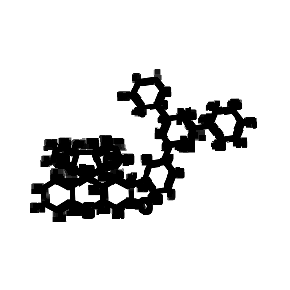 c1ccc(-c2cc(-c3ccc4oc5cc6c(cc5c4c3)C3(c4ccccc4S6)c4ccccc4-c4ccccc43)nc(-c3ccccc3)n2)cc1